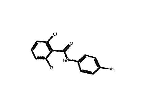 Nc1ccc(NC(=O)c2c(Cl)cccc2Cl)cc1